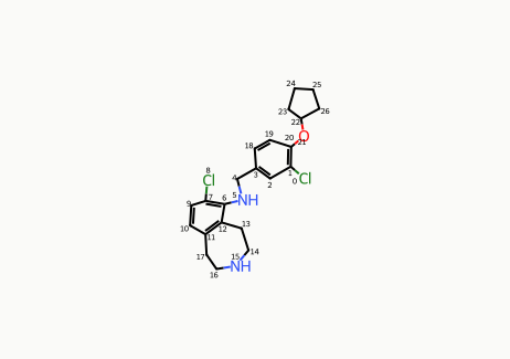 Clc1cc(CNc2c(Cl)ccc3c2CCNCC3)ccc1OC1CCCC1